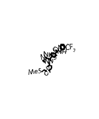 CSCCC(=O)N1CC(c2nc(-c3ccc(C(=O)Nc4cc(C(F)(F)F)ccn4)cc3)c3c(N)nccn23)CCC1C